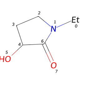 [CH2]CN1CCC(O)C1=O